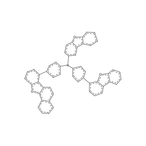 c1ccc2c(c1)ccc1c2oc2cccc(-c3ccc(N(c4ccc(-c5cccc6c5oc5ccccc56)cc4)c4ccc5oc6ccccc6c5c4)cc3)c21